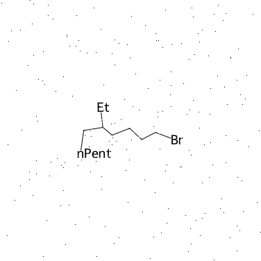 CCCCCCC(CC)CCCCBr